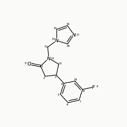 O=C1CC(c2cccc(F)c2)CN1Cn1ccnc1